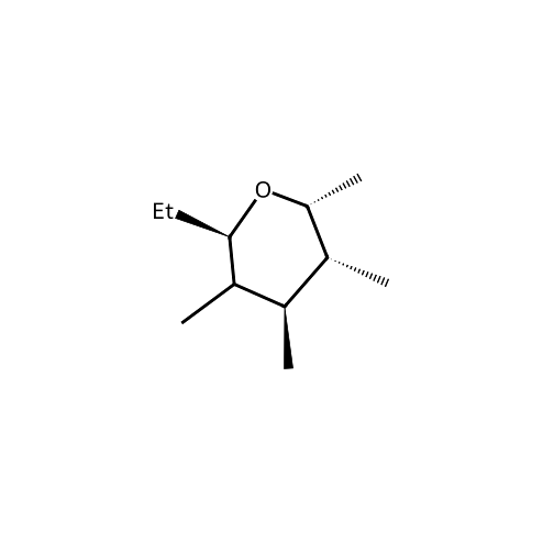 CC[C@H]1O[C@H](C)[C@H](C)[C@@H](C)C1C